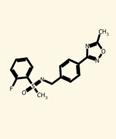 Cc1nc(-c2ccc(CN=S(C)(=O)c3ccccc3F)cc2)no1